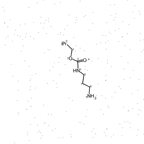 CC(C)COC(=O)NCCCN